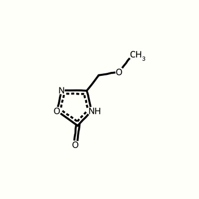 COCc1noc(=O)[nH]1